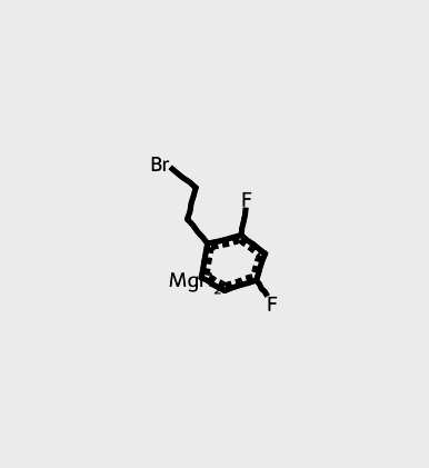 Fc1ccc(CCBr)c(F)c1.[MgH2]